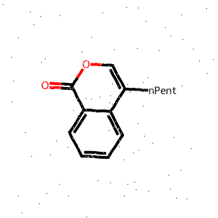 [CH2]CCCCc1coc(=O)c2ccccc12